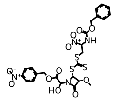 CO[C@H]1C(=O)N(C(O)C(=O)OCc2ccc([N+](=O)[O-])cc2)[C@@H]1SC(=S)SCC(NC(=O)OCc1ccccc1)[N+](=O)[O-]